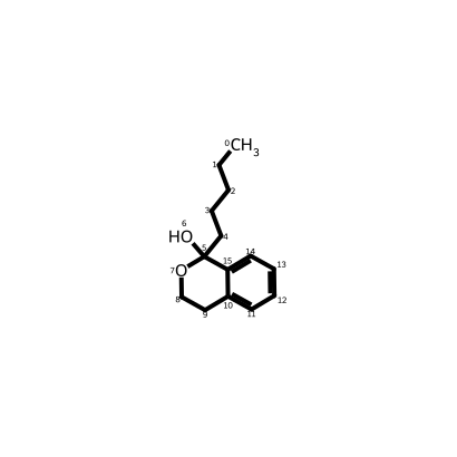 CCCCCC1(O)OCCc2ccccc21